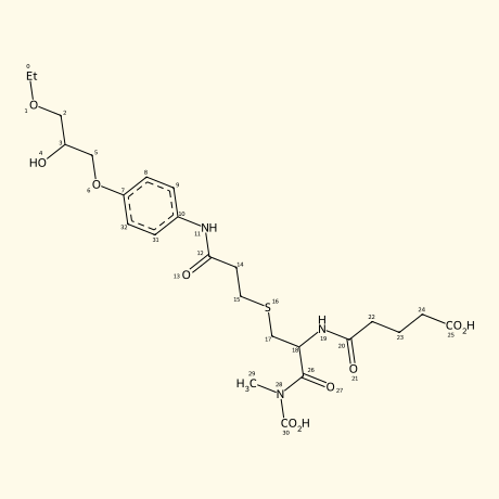 CCOCC(O)COc1ccc(NC(=O)CCSCC(NC(=O)CCCC(=O)O)C(=O)N(C)C(=O)O)cc1